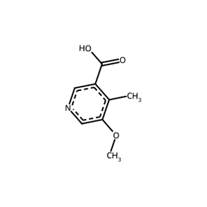 COc1cncc(C(=O)O)c1C